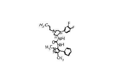 CCCN1C[C@@H](NC(=O)Nc2c(-c3ccccc3)c(C)nn2C)[C@H](c2ccc(F)c(F)c2)C1